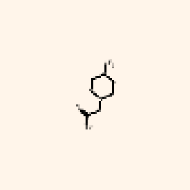 CC(C)C(=O)CN1CCC(C(F)(F)F)CC1